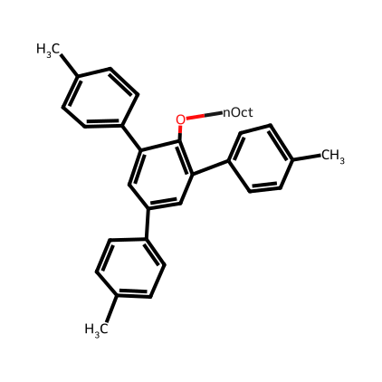 CCCCCCCCOc1c(-c2ccc(C)cc2)cc(-c2ccc(C)cc2)cc1-c1ccc(C)cc1